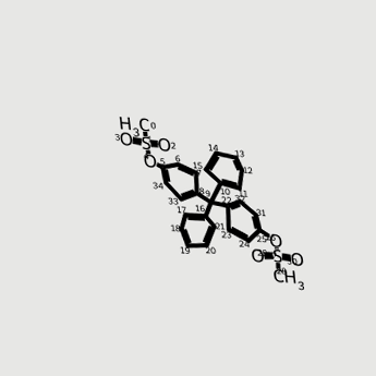 CS(=O)(=O)Oc1ccc(C(c2ccccc2)(c2ccccc2)c2ccc(OS(C)(=O)=O)cc2)cc1